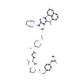 Cc1ncsc1-c1ccc([C@H](C)NC(=O)[C@@H]2C[C@@H](O)CN2C(=O)[C@H](c2cc(N(C)C3CCN(CCOc4nc(N5CC6CCC(C5)N6)c5cnc6c(c5n4)C(C)c4cccc5cc(O)cc-6c45)CC3)no2)C(C)C)cc1